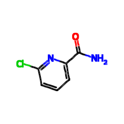 NC(=O)c1cccc(Cl)n1